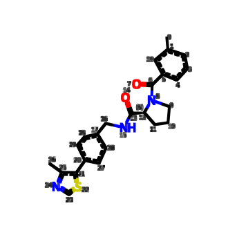 Cc1cccc(C(=O)N2CCC[C@H]2C(=O)NCc2ccc(-c3scnc3C)cc2)c1